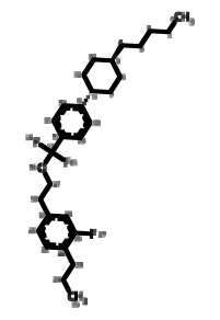 CCCCC[C@H]1CC[C@H](c2ccc(C(F)(F)OCCc3ccc(CCC)c(F)c3)cc2)CC1